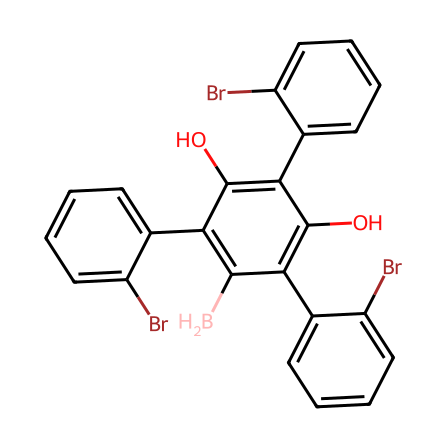 Bc1c(-c2ccccc2Br)c(O)c(-c2ccccc2Br)c(O)c1-c1ccccc1Br